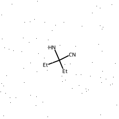 CCC([NH])(C#N)CC